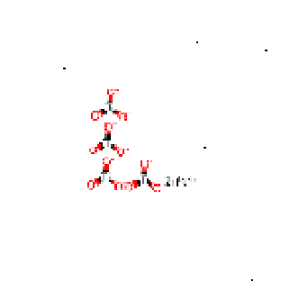 [O]=[Ti]([O-])[O-].[O]=[Ti]([O-])[O-].[O]=[Ti]([O-])[O-].[O]=[Ti]([O-])[O-].[Pt+4].[Zr+4]